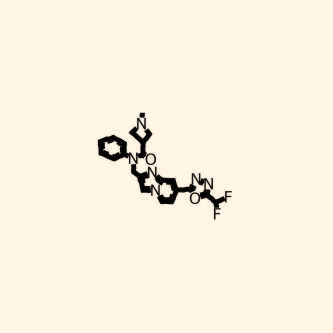 CN1CC(C(=O)N(Cc2cn3ccc(-c4nnc(C(F)F)o4)cc3n2)c2ccccc2)C1